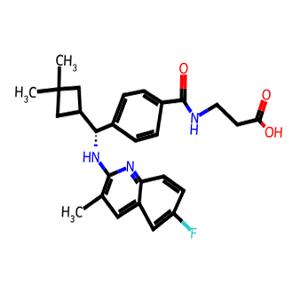 Cc1cc2cc(F)ccc2nc1N[C@@H](c1ccc(C(=O)NCCC(=O)O)cc1)C1CC(C)(C)C1